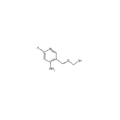 Nc1cc(F)ncc1COCS